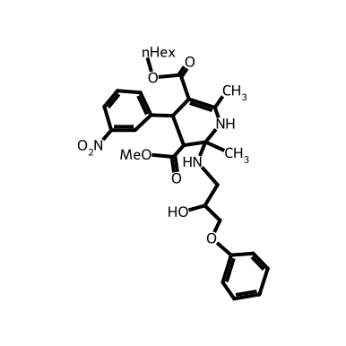 CCCCCCOC(=O)C1=C(C)NC(C)(NCC(O)COc2ccccc2)C(C(=O)OC)C1c1cccc([N+](=O)[O-])c1